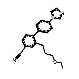 CCOCCCc1cc(C#N)ccc1-c1ccc(-n2ccnc2)cc1